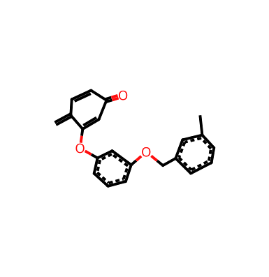 C=C1C=CC(=O)C=C1Oc1cccc(OCc2cccc(C)c2)c1